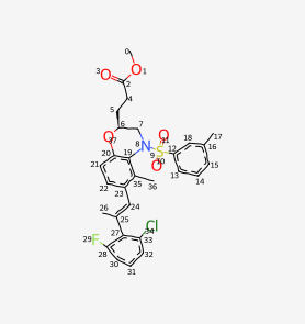 COC(=O)CC[C@H]1CN(S(=O)(=O)c2cccc(C)c2)c2c(ccc(/C=C(\C)c3c(F)cccc3Cl)c2C)O1